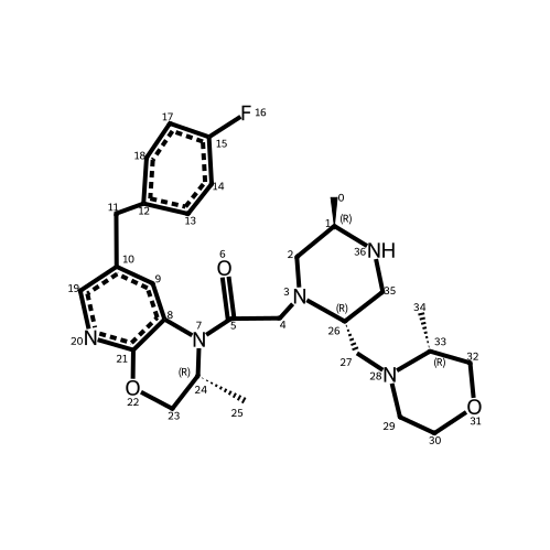 C[C@@H]1CN(CC(=O)N2c3cc(Cc4ccc(F)cc4)cnc3OC[C@H]2C)[C@@H](CN2CCOC[C@H]2C)CN1